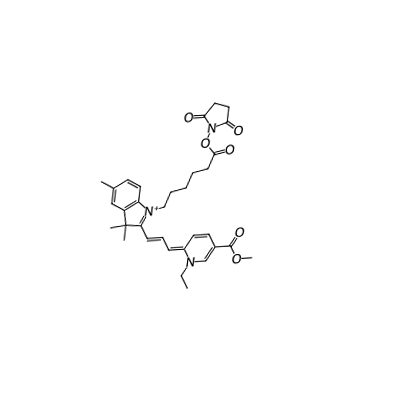 CCN1C=C(C(=O)OC)C=C/C1=C\C=C\C1=[N+](CCCCCC(=O)ON2C(=O)CCC2=O)c2ccc(C)cc2C1(C)C